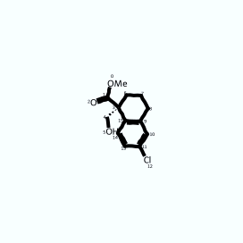 COC(=O)[C@@]1(CO)CCCc2cc(Cl)ccc21